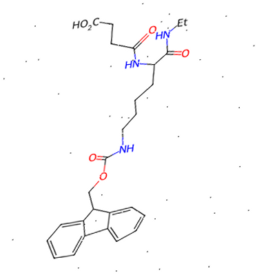 CCNC(=O)C(CCCCNC(=O)OCC1c2ccccc2-c2ccccc21)NC(=O)CCC(=O)O